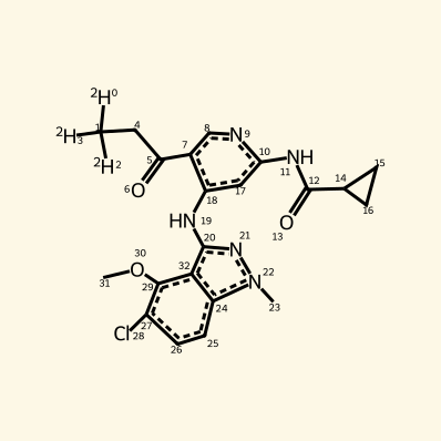 [2H]C([2H])([2H])CC(=O)c1cnc(NC(=O)C2CC2)cc1Nc1nn(C)c2ccc(Cl)c(OC)c12